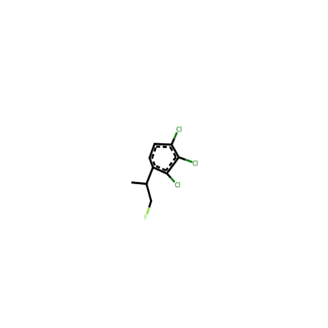 C[C](CF)c1ccc(Cl)c(Cl)c1Cl